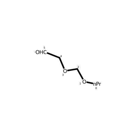 CCCOCOC[C]=O